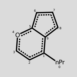 CCCc1ccoc2cc[c]c1-2